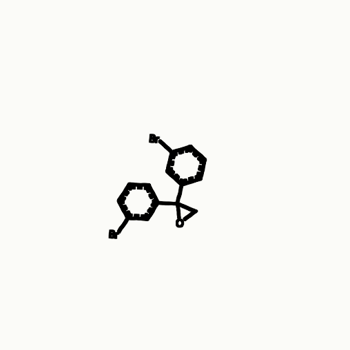 Brc1cccc(C2(c3cccc(Br)c3)CO2)c1